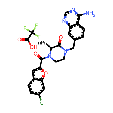 CCCC1C(=O)N(Cc2ccc3c(N)ncnc3c2)CCN1C(=O)c1cc2ccc(Cl)cc2o1.O=C(O)C(F)(F)F